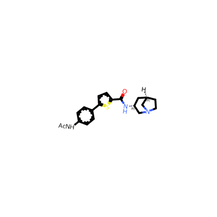 CC(=O)Nc1ccc(-c2ccc(C(=O)N[C@@H]3C[C@H]4CCN(C4)C3)s2)cc1